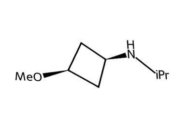 CO[C@H]1C[C@@H](NC(C)C)C1